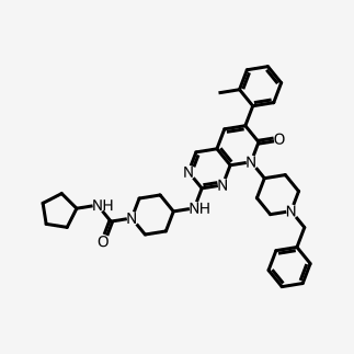 Cc1ccccc1-c1cc2cnc(NC3CCN(C(=O)NC4CCCC4)CC3)nc2n(C2CCN(Cc3ccccc3)CC2)c1=O